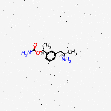 C[C@H](N)Cc1cccc([C@H](C)OC(N)=O)c1